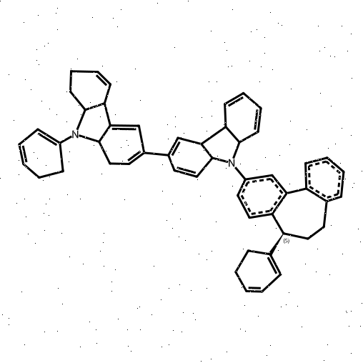 C1=CCCC([C@@H]2CCc3ccccc3-c3cc(N4C5C=CC=CC5C5C=C(C6=CCC7C(=C6)C6C=CCCC6N7C6=CC=CCC6)C=CC54)ccc32)=C1